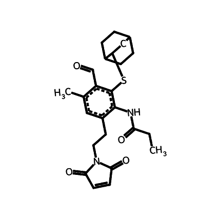 CCC(=O)Nc1c(CCN2C(=O)C=CC2=O)cc(C)c(C=O)c1SC1CC2CCC1CC2